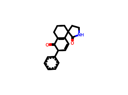 O=C1C2=C(C=CC1c1ccccc1)C1(CCC2)CCNC1=O